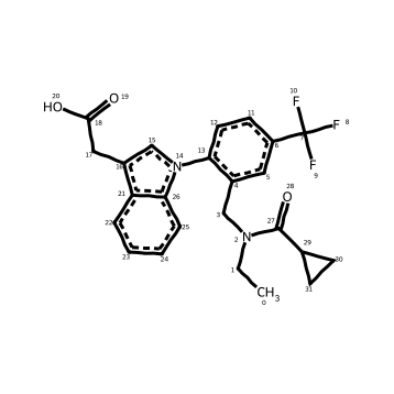 CCN(Cc1cc(C(F)(F)F)ccc1-n1cc(CC(=O)O)c2ccccc21)C(=O)C1CC1